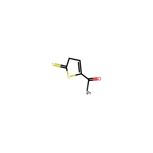 CC(C)C(=O)C1=CCC(=S)S1